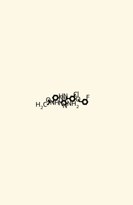 C=CC(=O)Nc1cccc(Nc2ncnc(N)c2C(=N)c2ccc(OCc3cccc(F)c3)c(Cl)c2)c1